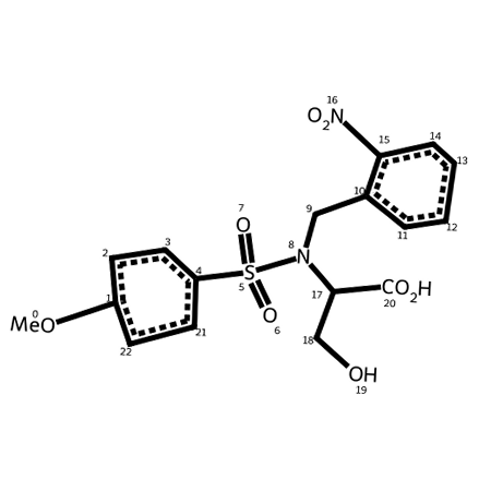 COc1ccc(S(=O)(=O)N(Cc2ccccc2[N+](=O)[O-])C(CO)C(=O)O)cc1